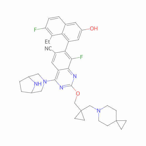 CCc1c(F)ccc2cc(O)cc(-c3c(C#N)cc4c(N5CC6CCC(C5)N6)nc(OCC5(CN6CCC7(CC6)CC7)CC5)nc4c3F)c12